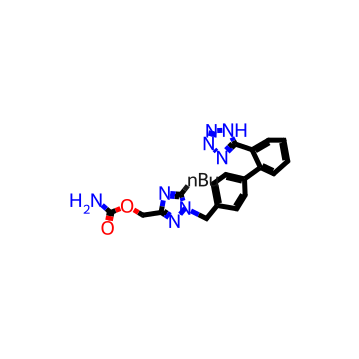 CCCCc1nc(COC(N)=O)nn1Cc1ccc(-c2ccccc2-c2nnn[nH]2)cc1